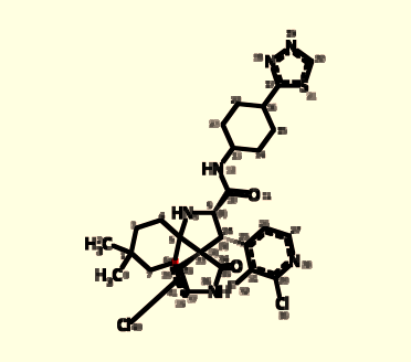 CC1(C)CCC2(CC1)N[C@@H](C(=O)NC1CCC(c3nncs3)CC1)[C@H](c1ccnc(Cl)c1F)[C@]21C(=O)Nc2cc(Cl)ccc21